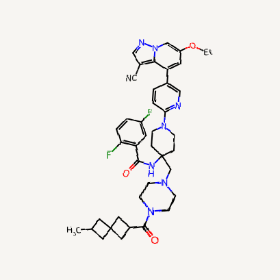 CCOc1cc(-c2ccc(N3CCC(CN4CCN(C(=O)C5CC6(CC(C)C6)C5)CC4)(NC(=O)c4cc(F)ccc4F)CC3)nc2)c2c(C#N)cnn2c1